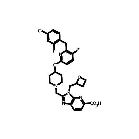 O=C(O)c1ccc2nc(CN3CCC(Oc4ccc(F)c(Cc5ccc(Cl)cc5F)n4)CC3)n(CC3CCO3)c2n1